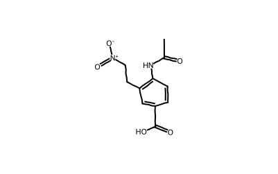 CC(=O)Nc1ccc(C(=O)O)cc1CC[N+](=O)[O-]